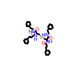 O=C(C=Cc1ccccc1)NC(CSSCC(NC(=O)C=Cc1ccccc1)C(=O)NCCc1ccccc1)C(=O)NCCc1ccccc1